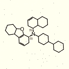 C1=CC2=C(OC3CCCCC23)[C@@H](N(C2CCC(C3CCCCC3)CC2)[C@H]2CC=CC3CCCCC32)C1